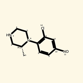 C[C@@H]1CNCCN1c1ccc(N=O)cc1Cl